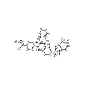 COC(=O)c1ccc(C2Nc3ccc(S(=O)(=O)Nc4ccc(C)c(C)c4)cc3[C@H]3Cc4ccccc4C[C@@H]23)cc1